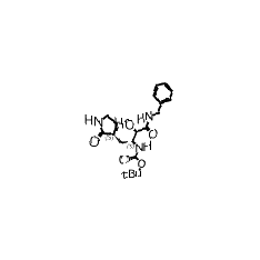 CC(C)(C)OC(=O)N[C@@H](C[C@@H]1CCNC1=O)C(O)C(=O)NCc1ccccc1